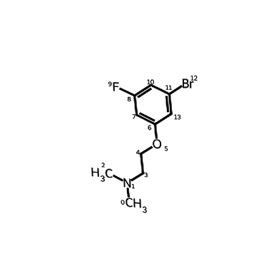 CN(C)CCOc1cc(F)cc(Br)c1